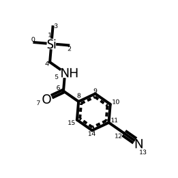 C[Si](C)(C)CNC(=O)c1ccc(C#N)cc1